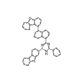 c1ccc(C2=NC(c3cccc4c(-c5cccc6oc7ccccc7c56)cccc34)=NC(c3ccc4c(c3)sc3ccccc34)N2)cc1